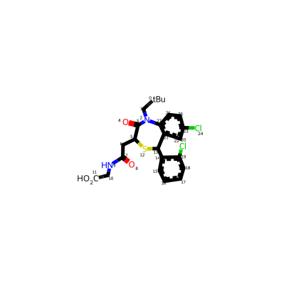 CC(C)(C)CN1C(=O)C(CC(=O)NCC(=O)O)SC(c2ccccc2Cl)c2cc(Cl)ccc21